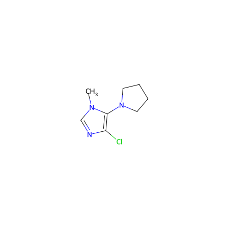 Cn1cnc(Cl)c1N1CCCC1